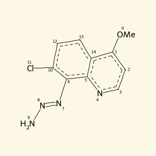 COc1ccnc2c(N=NN)c(Cl)ccc12